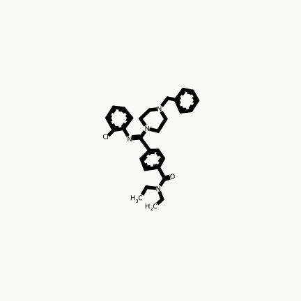 CCN(CC)C(=O)c1ccc(C(=Nc2ccccc2Cl)N2CCN(Cc3ccccc3)CC2)cc1